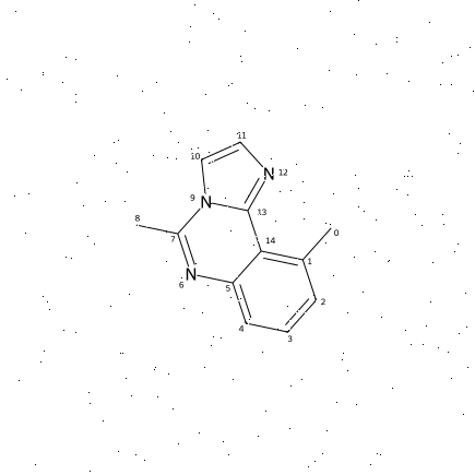 Cc1cccc2nc(C)n3ccnc3c12